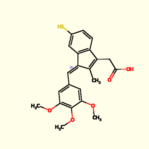 COc1cc(/C=C2\C(C)=C(CC(=O)O)c3ccc(S)cc32)cc(OC)c1OC